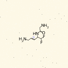 NC/C=C/C(NC(=O)CN)C(F)F